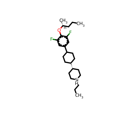 CCC[C@@H](C)Oc1c(F)cc(C2CCC([C@H]3CC[Si@H](CCC)CC3)CC2)cc1F